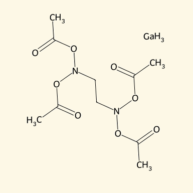 CC(=O)ON(CCN(OC(C)=O)OC(C)=O)OC(C)=O.[GaH3]